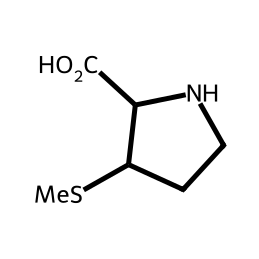 CSC1CCNC1C(=O)O